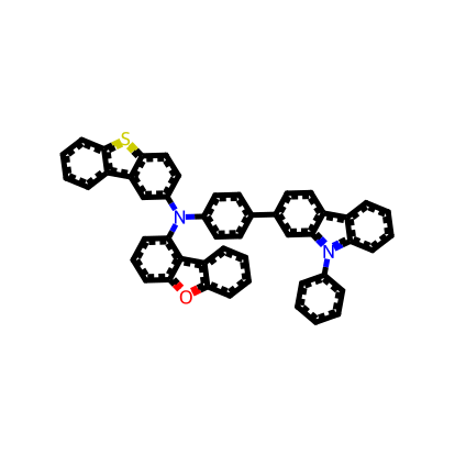 c1ccc(-n2c3ccccc3c3ccc(-c4ccc(N(c5ccc6sc7ccccc7c6c5)c5cccc6oc7ccccc7c56)cc4)cc32)cc1